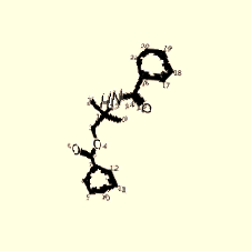 CC(C)(COC(=O)c1ccccc1)NC(=O)c1ccccc1